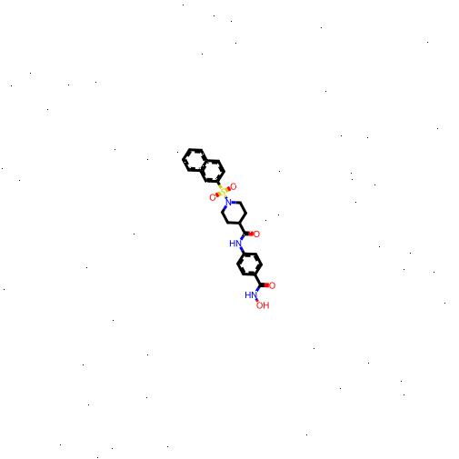 O=C(NO)c1ccc(NC(=O)C2CCN(S(=O)(=O)c3ccc4ccccc4c3)CC2)cc1